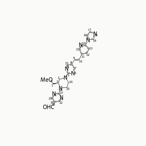 COC[C@H]1CN(c2ncc(/C=C/c3ccc(-n4ccnc4)nc3)cn2)CCN1c1ncc(C=O)cn1